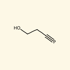 OCCC#P